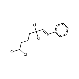 ClC(Cl)CCCC(Cl)(Cl)C=Nc1ccccc1